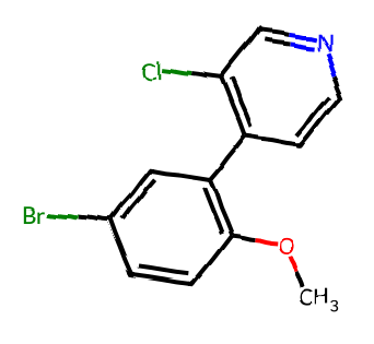 COc1ccc(Br)cc1-c1ccncc1Cl